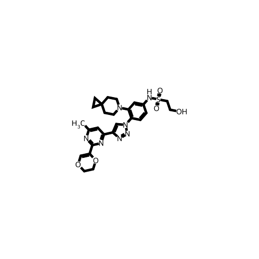 Cc1cc(-c2cn(-c3ccc(NS(=O)(=O)CCO)cc3N3CCC4(CC3)CC4)nn2)nc(C2=COCCO2)n1